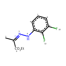 CCOC(=O)/C(C)=N\Nc1cccc(F)c1F